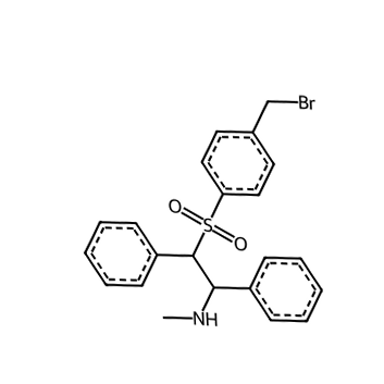 CNC(c1ccccc1)C(c1ccccc1)S(=O)(=O)c1ccc(CBr)cc1